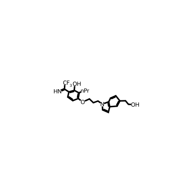 CCCc1c(OCCCn2ccc3cc(CCO)ccc32)ccc(C(=N)C(F)(F)F)c1O